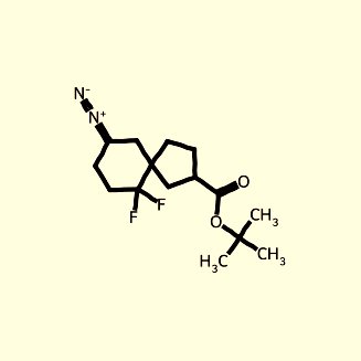 CC(C)(C)OC(=O)C1CCC2(CC(=[N+]=[N-])CCC2(F)F)C1